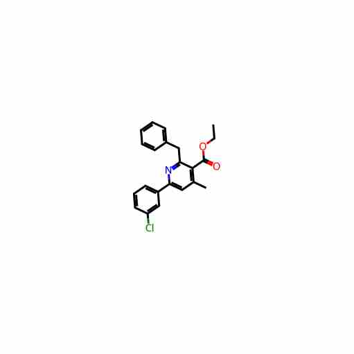 CCOC(=O)c1c(C)cc(-c2cccc(Cl)c2)nc1Cc1ccccc1